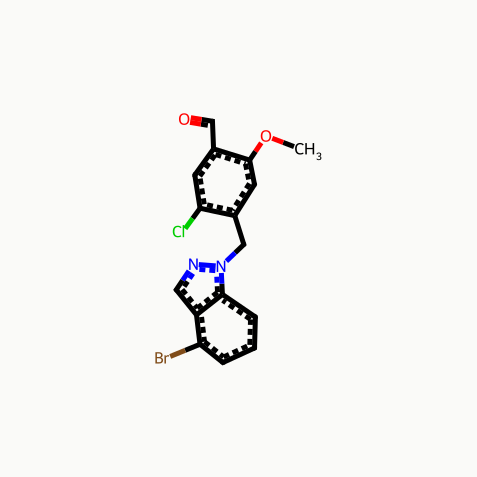 COc1cc(Cn2ncc3c(Br)cccc32)c(Cl)cc1C=O